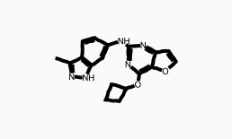 Cc1n[nH]c2cc(Nc3nc(OC4CCC4)c4occc4n3)ccc12